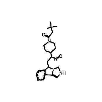 CC(C)(C)CC(=O)N1CCC(C(CC2c3ccccc3C3=CNCN32)N=O)CC1